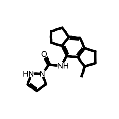 CC1CCc2cc3c(c(NC(=O)N4CC=CN4)c21)CCC3